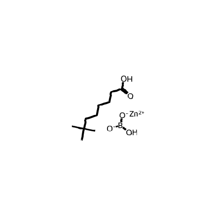 CC(C)(C)CCCCCC(=O)O.[O-]B([O-])O.[Zn+2]